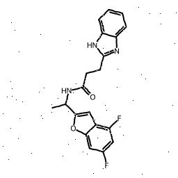 CC(NC(=O)CCc1nc2ccccc2[nH]1)c1cc2c(F)cc(F)cc2o1